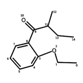 CCOc1ccccc1C(=O)C(C)CC